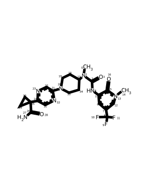 CN(C(=O)Nc1cc(C(F)(F)F)cn(C)c1=O)C1CCN(c2cnc(C3(C(N)=O)CC3)cn2)CC1